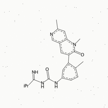 Cc1cc2c(cn1)cc(-c1cc(NC(=O)NC(=N)C(C)C)ccc1C)c(=O)n2C